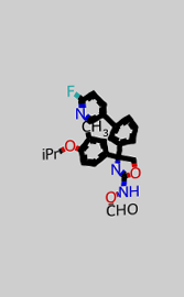 Cc1cc(C2(c3cccc(-c4ccc(F)nc4)c3)COC(NOC=O)=N2)ccc1OC(C)C